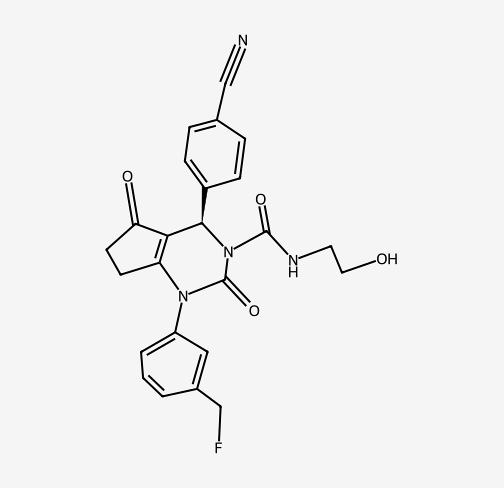 N#Cc1ccc([C@@H]2C3=C(CCC3=O)N(c3cccc(CF)c3)C(=O)N2C(=O)NCCO)cc1